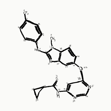 Cn1c(Nc2ccc(C(F)(F)F)cc2)nc2cc(Oc3cc(NC(=O)C4CC4)ncn3)ccc21